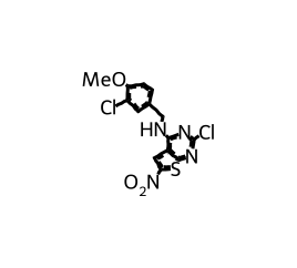 COc1ccc(CNc2nc(Cl)nc3sc([N+](=O)[O-])cc23)cc1Cl